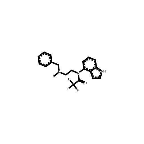 CN(CCN(C(=O)C(F)(F)F)c1cccc2[nH]ccc12)Cc1ccccc1